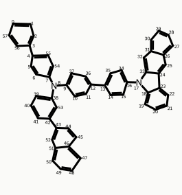 c1ccc(-c2ccc(N(c3ccc(-c4ccc(-n5c6ccccc6c6cc7ccccc7cc65)cc4)cc3)c3cccc(-c4ccc5ccccc5c4)c3)cc2)cc1